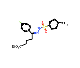 CCOC(=O)CCC/C(=N/NS(=O)(=O)c1ccc(C)cc1)c1ccc(F)cc1